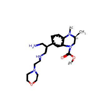 CC(=O)N1c2ccc(C(CN)CNCCN3CCOCC3)cc2N(C(=O)OC(C)C)C[C@@H]1C